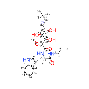 CCCNC(=O)[C@H](Cc1c[nH]c2ccccc12)NC(=O)[C@H](OC)[C@H](O)[C@@H](O)[C@H](O)/C=C/C(C)(C)C